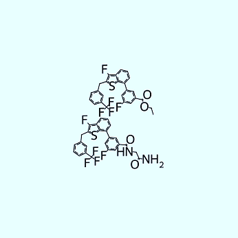 CCOC(=O)c1cc(F)cc(-c2cccc3c(F)c(Cc4cccc(C(F)(F)F)c4)sc23)c1.NC(=O)CNC(=O)c1cc(F)cc(-c2cccc3c(F)c(Cc4cccc(C(F)(F)F)c4)sc23)c1